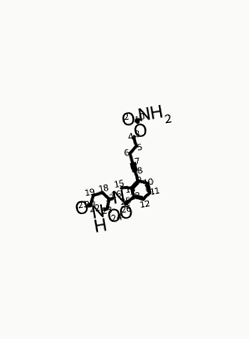 NC(=O)OCCCC#Cc1cccc2c1CN(C1CCC(=O)NC1=O)C2=O